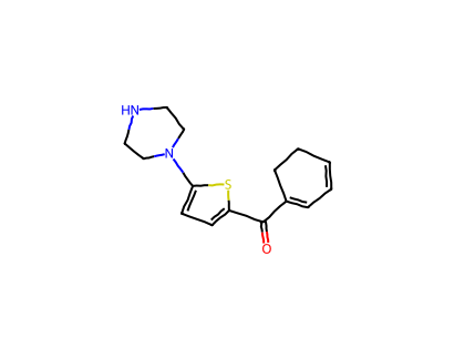 O=C(C1=CC=CCC1)c1ccc(N2CCNCC2)s1